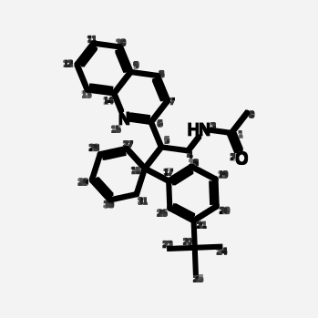 CC(=O)NCC(c1ccc2ccccc2n1)C1(c2cccc(C(C)(C)C)c2)C=CC=CC1